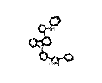 c1ccc(Nc2ccccc2-c2cccc3c2c2ccccc2n3-c2cccc(-c3nc(-c4ccccc4)n[nH]3)c2)cc1